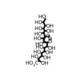 O=C(O)C(O)C(O)C(O)C(O)C(O)C(O)C(O)c1oooc(C(O)C(O)C(O)C(O)C(O)CO)c(O)c1O